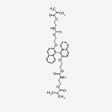 C=C(C)C(=O)OCCNC(=O)OCCOc1ccc2ccccc2c1-c1c(OCCOC(=O)NCCOC(=O)C(=C)C)ccc2ccccc12